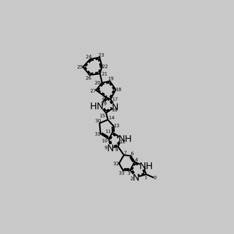 Cc1nc2c([nH]1)=CC(c1nc3c([nH]1)=CC(c1nc4ccc(-c5ccccc5)cc4[nH]1)CC=3)CC=2